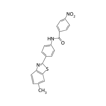 Cc1ccc2nc(-c3ccc(NC(=O)c4ccc([N+](=O)[O-])cc4)cc3)sc2c1